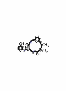 C=C1C[C@H](C)C[C@@H]2CC=C[C@@H](C/C=C\C(=O)N[C@H](C/C=C/[C@@H]3CC(C)=CCO3)C/C=C/[C@@H](O)C1)O2